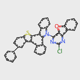 Clc1nc(-n2c3ccccc3c3c4sc5ccc(-c6ccccc6)cc5c4c4ccccc4c32)c2oc3ccccc3c2n1